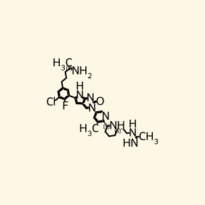 CC(=N)NCC[C@@H]1CCC[C@@H](c2ncc(-n3cc4cc(-c5cc(CCC[C@H](C)N)cc(Cl)c5F)[nH]c4nc3=O)cc2C)N1